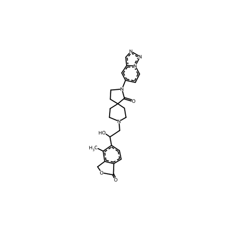 Cc1c(C(O)CN2CCC3(CC2)CCN(c2ccn4nncc4c2)C3=O)ccc2c1COC2=O